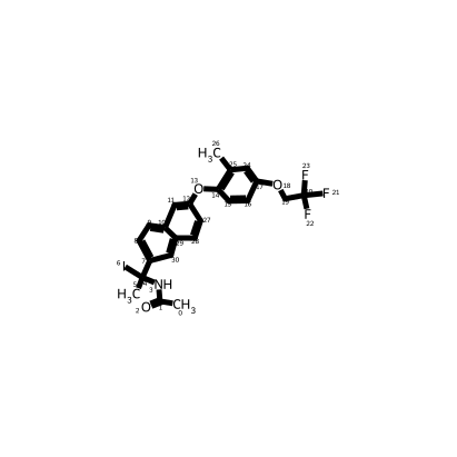 CC(=O)NC(C)(I)c1ccc2cc(Oc3ccc(OCC(F)(F)F)cc3C)ccc2c1